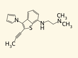 CC#Cc1sc2c(NCCN(C)C)cccc2c1-n1cccc1